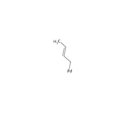 C/C=C/[CH2][Pd]